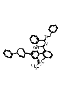 C=Cc1cc(C2=CCC(c3ccccc3)C=C2)ccc1-c1c(C)cccc1/C(CCC)=N/C(=N\Cc1ccccc1)c1ccccc1